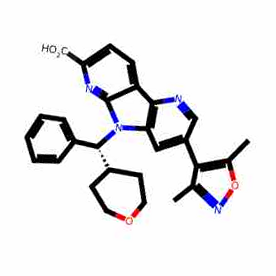 Cc1noc(C)c1-c1cnc2c3ccc(C(=O)O)nc3n([C@@H](c3ccccc3)C3CCOCC3)c2c1